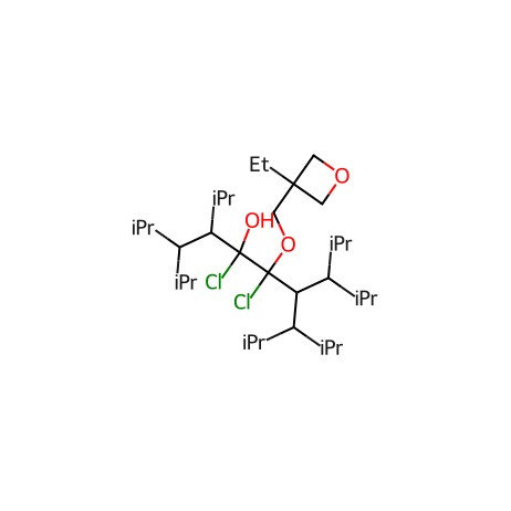 CCC1(COC(Cl)(C(C(C(C)C)C(C)C)C(C(C)C)C(C)C)C(O)(Cl)C(C(C)C)C(C(C)C)C(C)C)COC1